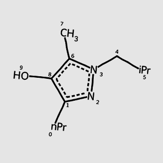 CCCc1nn(CC(C)C)c(C)c1O